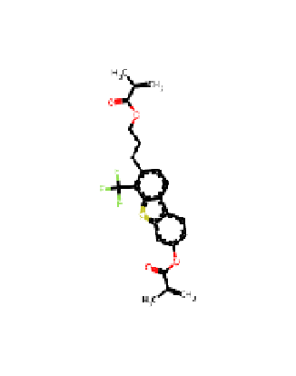 C=C(C)C(=O)OCCCc1ccc2c(sc3cc(OC(=O)C(=C)C)ccc32)c1C(F)(F)F